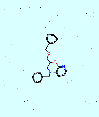 c1ccc(COCC2CN(Cc3ccccc3)c3cccnc3O2)cc1